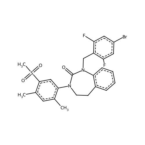 Cc1cc(C)c(S(C)(=O)=O)cc1N1CCc2ccccc2N(Cc2c(F)cc(Br)cc2F)C1=O